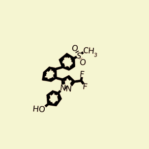 CS(=O)(=O)c1ccc(-c2ccccc2-c2cc(C(F)F)nn2-c2ccc(O)cc2)cc1